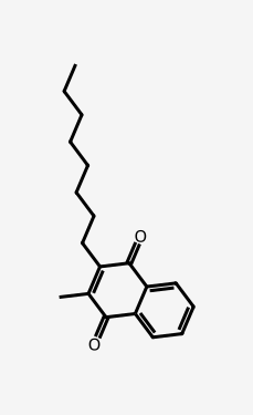 CCCCCCCCC1=C(C)C(=O)c2ccccc2C1=O